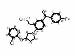 O=CCc1cc(C(=O)c2ccc(F)cc2)ccc1N1CCC(Oc2ncccc2Cl)C1